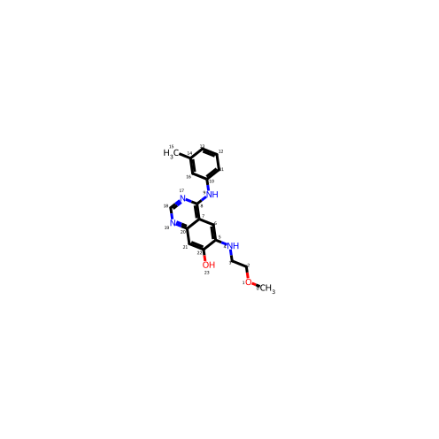 COCCNc1cc2c(Nc3cccc(C)c3)ncnc2cc1O